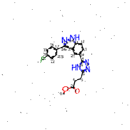 COC(=O)CCc1nnc(-c2ccc3[nH]nc(-c4ccc(F)cc4)c3c2)[nH]1